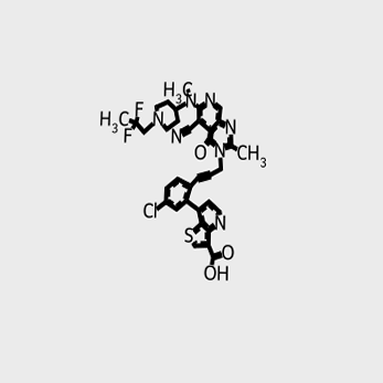 Cc1nc2cnc(N(C)C3CCN(CC(C)(F)F)CC3)c(C#N)c2c(=O)n1CC#Cc1ccc(Cl)cc1-c1ccnc2c(C(=O)O)csc12